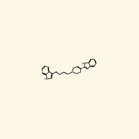 C1=C(c2cc3ccccc3[nH]2)CCN(CCCCc2c[nH]c3ccccc23)C1